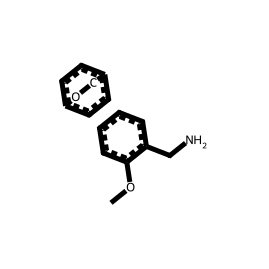 COc1ccccc1CN.c1cc2ccc1CO2